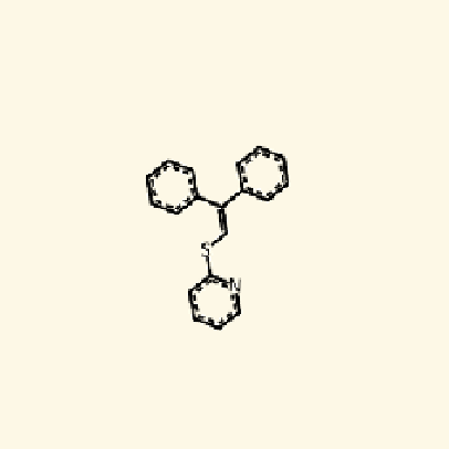 C(Sc1ccccn1)=C(c1ccccc1)c1ccccc1